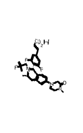 C[C@@H]1Cc2cc(N3CCN(C)C(=O)C3)ccc2[C@@H](c2c(F)cc(/C=C/C(=O)O)cc2F)N1CC(C)(C)F